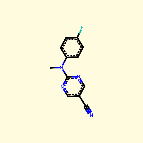 CN(c1ccc(F)cc1)c1ncc(C#N)cn1